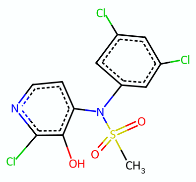 CS(=O)(=O)N(c1cc(Cl)cc(Cl)c1)c1ccnc(Cl)c1O